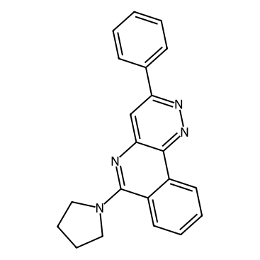 c1ccc(-c2cc3nc(N4CCCC4)c4ccccc4c3nn2)cc1